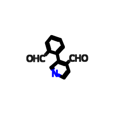 O=Cc1ccccc1-c1cnccc1C=O